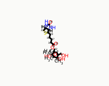 CC1(O)C2(C)OC(CO)(C[C@]1(C)COC(=O)CCCCC1SC[C@@H]3NC(=O)N[C@H]13)[C@@]2(C)O